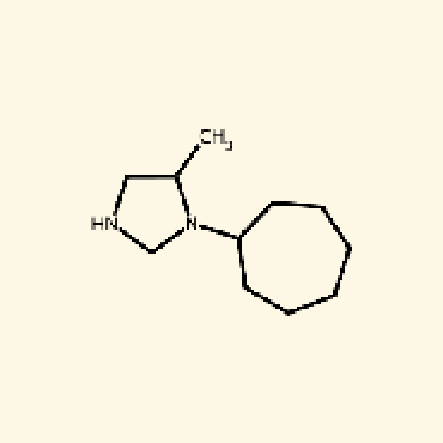 CC1CNCN1C1CCCCCC1